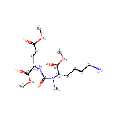 CN(C(=O)N[C@@H](CCC(=O)OC(C)(C)C)C(=O)OC(C)(C)C)[C@@H](CCCCN)C(=O)OC(C)(C)C